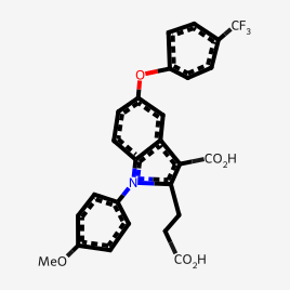 COc1ccc(-n2c(CCC(=O)O)c(C(=O)O)c3cc(Oc4ccc(C(F)(F)F)cc4)ccc32)cc1